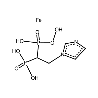 O=P(O)(O)C(Cn1ccnc1)P(=O)(O)OO.[Fe]